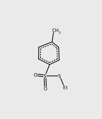 CCSS(=O)(=O)c1ccc(C)cc1